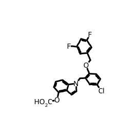 O=C(O)Oc1cccc2c1ccn2Cc1cc(Cl)ccc1OCc1cc(F)cc(F)c1